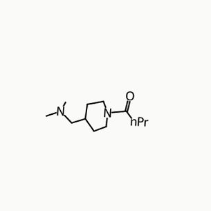 CCCC(=O)N1CCC(CN(C)C)CC1